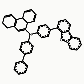 C1=CC2C(N(c3ccc(-c4ccccc4)cc3)c3ccc(-c4cccc5c4oc4ccccc45)cc3)=CC3=C(C=CCC3)C2C=C1